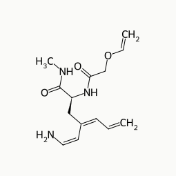 C=C/C=C(\C=C/N)C[C@H](NC(=O)COC=C)C(=O)NC